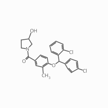 Cc1cc(C(=O)N2CCC(O)C2)ccc1OC(c1ccc(Cl)cc1)c1ccccc1Cl